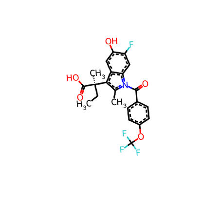 CC[C@@](C)(C(=O)O)c1c(C)n(C(=O)c2ccc(OC(F)(F)F)cc2)c2cc(F)c(O)cc12